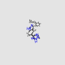 COc1ccccc1-c1n[nH]c2ccc(-c3nn[nH]n3)cc12